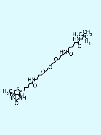 C=N[C@]12CS[C@H](CCCCC(=O)NCCCOCCOCCOCCCNC(=O)CCCC(=O)NCC(C)(C)C)[C@H]1NC(=O)N2